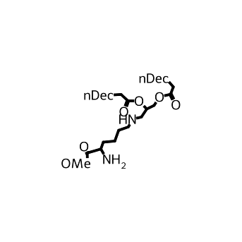 CCCCCCCCCCCC(=O)OCC(CNCCCCC(N)C(=O)OC)OC(=O)CCCCCCCCCCC